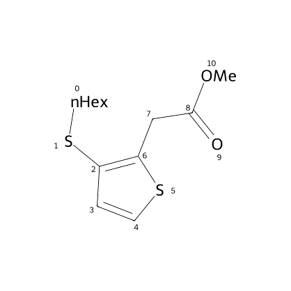 CCCCCCSc1ccsc1CC(=O)OC